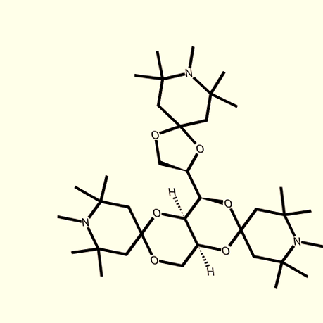 CN1C(C)(C)CC2(CC1(C)C)OC[C@@H]1OC3(CC(C)(C)N(C)C(C)(C)C3)O[C@H]([C@H]3COC4(CC(C)(C)N(C)C(C)(C)C4)O3)[C@@H]1O2